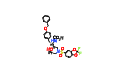 CC(C)CN(C[C@H](O)[C@H](Cc1ccc(OCc2ccccc2)cc1)NC(=O)O)S(=O)(=O)c1ccc2c(c1)OC(F)(F)O2